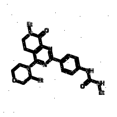 CCNC(=O)Nc1ccc(-c2nc3c(c(N4CCOCC4CC)n2)CCN(CC)C3=O)cc1